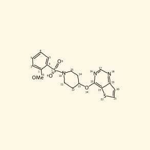 COc1ccccc1S(=O)(=O)N1CCC(Oc2ncnc3ccsc23)CC1